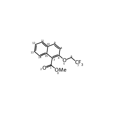 COC(=O)c1c(OCC(F)(F)F)ccc2ccccc12